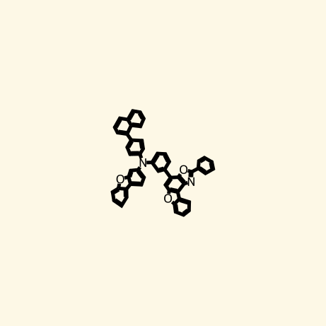 c1ccc(-c2nc3c(o2)c(-c2cccc(N(c4ccc(-c5cccc6ccccc56)cc4)c4ccc5c(c4)oc4ccccc45)c2)cc2oc4ccccc4c23)cc1